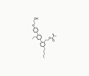 C=C(C)C(=O)OCCc1cc(CCCCC)ccc1-c1ccc(-c2ccc(OCCO)cc2)c(CC)c1